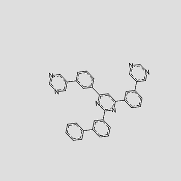 c1ccc(-c2cccc(-c3nc(-c4cccc(-c5cncnc5)c4)cc(-c4cccc(-c5cncnc5)c4)n3)c2)cc1